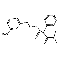 COc1cccc(CCNC(=O)C(C(=O)N(C)C)c2ccccc2)c1